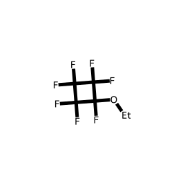 CCOC1(F)C(F)(F)C(F)(F)C1(F)F